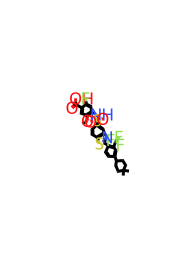 COc1cc(C(=O)O)c(F)cc1NS(=O)(=O)c1ccc2sc(-c3ccc(C4CCC(C)(C)CC4)cc3C(F)(F)F)nc2c1